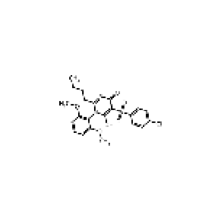 CCCCc1nc(=O)c(S(=O)(=O)c2ccc(Cl)cc2)c(O)n1-c1c(OC)cccc1OC